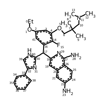 CCOc1cc(OCC(C)(C)CN(C)C)c(F)c(C(c2cc3cc(N)ccc3c(N)n2)c2nc(-c3ccccc3)c[nH]2)c1